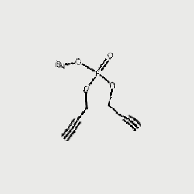 C#CCOP(=O)(OCC#C)OC(C)CC